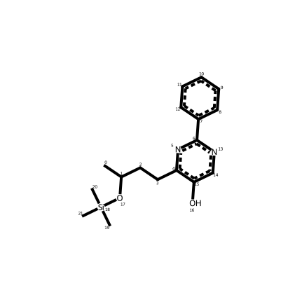 CC(CCc1nc(-c2ccccc2)ncc1O)O[Si](C)(C)C